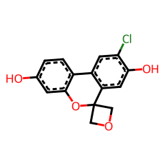 Oc1ccc2c(c1)OC1(COC1)c1cc(O)c(Cl)cc1-2